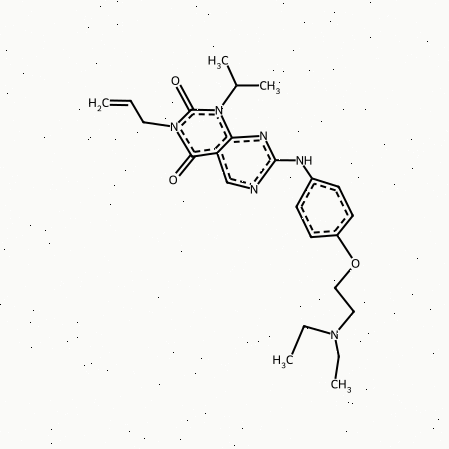 C=CCn1c(=O)c2cnc(Nc3ccc(OCCN(CC)CC)cc3)nc2n(C(C)C)c1=O